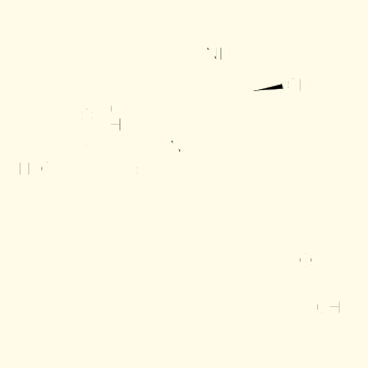 COc1cccc([N+]2(OC(C)=O)C[C@H](C)NC[C@H]2C)c1